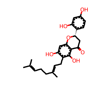 CC(C)=CCC/C(C)=C/Cc1c(O)cc2c(c1O)C(=O)C[C@@H](c1ccc(O)cc1O)O2